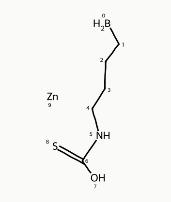 BCCCCNC(O)=S.[Zn]